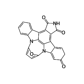 O=C1C=c2c(c3c4c(=O)[nH]c(=O)c4c4c5ccccc5n5c6ccc(o6)n2c3c45)=CC1